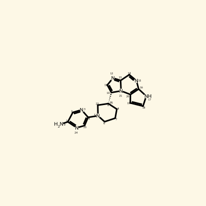 Nc1cnc(N2CCC[C@@H](c3cnc4cnc5[nH]ccc5n34)C2)cn1